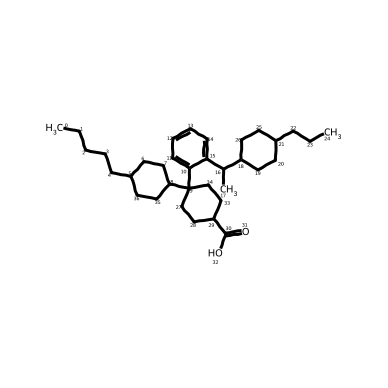 CCCCCC1CCC(C2(c3ccccc3C(C)C3CCC(CCC)CC3)CCC(C(=O)O)CC2)CC1